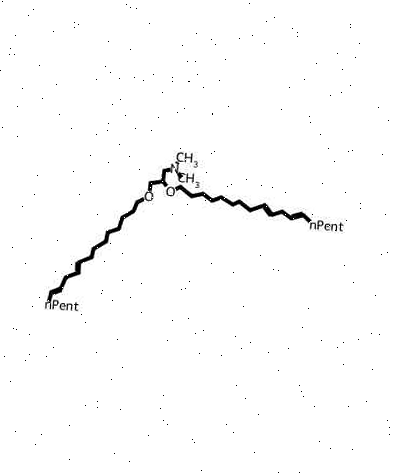 CCCCCC=CCC=CCCCCCCCCOCC(CN(C)C)OCCCCCCCCC=CCC=CCCCCC